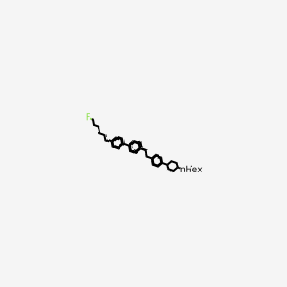 CCCCCCC1CCC(c2ccc(CCc3ccc(-c4ccc(CCCCCCF)cc4)cc3)cc2)CC1